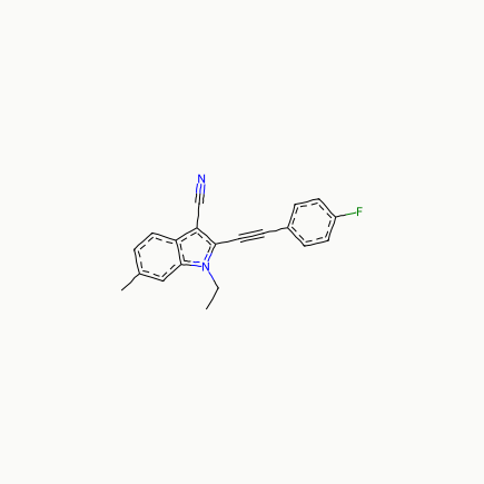 CCn1c(C#Cc2ccc(F)cc2)c(C#N)c2ccc(C)cc21